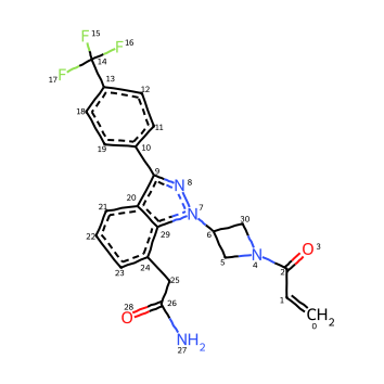 C=CC(=O)N1CC(n2nc(-c3ccc(C(F)(F)F)cc3)c3cccc(CC(N)=O)c32)C1